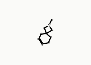 CN1CC2(CC=CCC2)C1